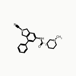 CN1CCC[C@H](C(=O)Nc2cc3c(c(-c4ccccc4)c2)CN(C#N)C3)C1